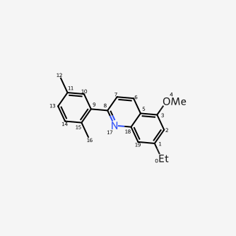 CCc1cc(OC)c2ccc(-c3cc(C)ccc3C)nc2c1